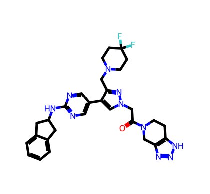 O=C(Cn1cc(-c2cnc(NC3Cc4ccccc4C3)nc2)c(CN2CCC(F)(F)CC2)n1)N1CCc2[nH]nnc2C1